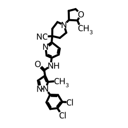 Cc1c(C(=O)Nc2ccc(C3(C#N)CCN(C4CCOC4C)CC3)nc2)cnn1-c1ccc(Cl)c(Cl)c1